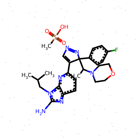 CC(C)Cn1c(N)nc2ccc(C3=CN=NC3(c3ccc(F)cc3)C(C)N3CCOCC3)nc21.CS(=O)(=O)O